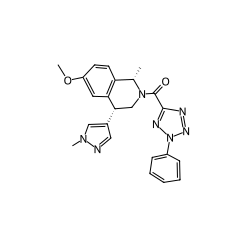 COc1ccc2c(c1)[C@@H](c1cnn(C)c1)CN(C(=O)c1nnn(-c3ccccc3)n1)[C@H]2C